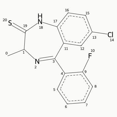 CC1N=C(c2ccccc2F)c2cc(Cl)ccc2NC1=S